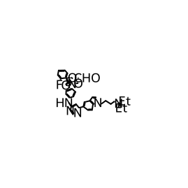 CCN(CC)CCCCn1ccc2cc(-c3cc(Nc4ccc(N(OC=O)S(=O)(=O)c5ccccc5F)cc4)ncn3)ccc21